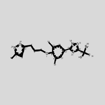 Cc1cc(CCCOc2c(C)cc(-c3noc(C(F)(F)Br)n3)cc2C)on1